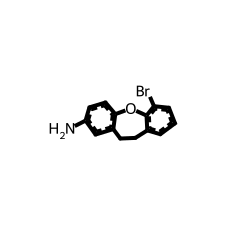 Nc1ccc2c(c1)CCc1cccc(Br)c1O2